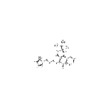 O=C(N1CCOCC1)N(CCCCc1nnn[nH]1)c1ccc(C(O)(C(F)(F)F)C(F)(F)F)cc1